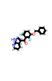 O=C(C1=C(F)C(OCc2ccccc2)CC=C1F)c1c[nH]c2ncccc12